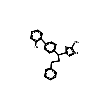 CCCCc1nc(C(CCc2ccccc2)c2ccc(-c3ccccc3C#N)cc2)n[nH]1